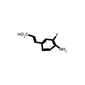 Nc1ccc(C=CC(=O)O)cc1F